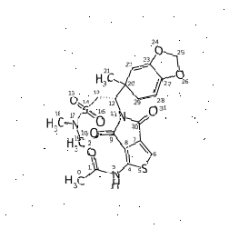 CC(=O)Nc1scc2c1C(=O)N([C@H](CS(=O)(=O)N(C)C)C1(C)C=C3OCOC3=CC1)C2=O